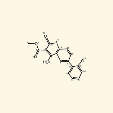 COC(=O)c1c(O)c2cc(-c3ccccc3Cl)ccc2sc1=O